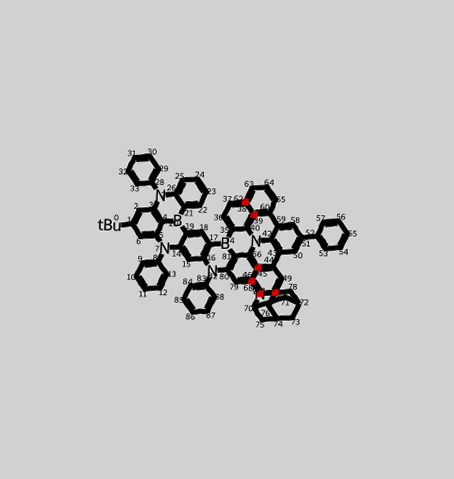 CC(C)(C)c1cc2c3c(c1)N(c1ccccc1)c1cc4c(cc1B3c1ccccc1N2c1ccccc1)B1c2ccccc2N(c2c(-c3ccccc3)cc(-c3ccccc3)cc2-c2ccccc2)c2cc(N3C5CC6CC(C5)CC3C6)cc(c21)N4c1ccccc1